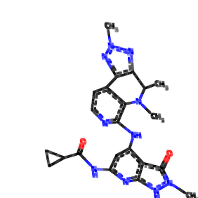 CC1c2nn(C)nc2-c2ccnc(Nc3cc(NC(=O)C4CC4)nc4[nH]n(C)c(=O)c34)c2N1C